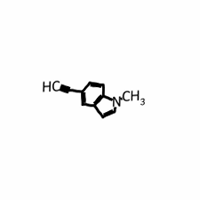 C#Cc1ccc2c(ccn2C)c1